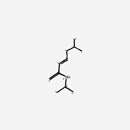 C=C(/C=C/CC(C)C)NC(C)C